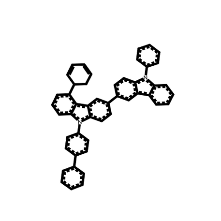 C1=CCC(c2cccc3c2c2cc(-c4ccc5c(c4)c4ccccc4n5-c4ccccc4)ccc2n3-c2ccc(-c3ccccc3)cc2)C=C1